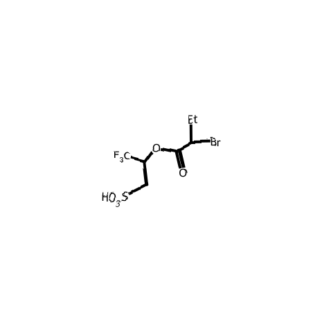 CCC(Br)C(=O)OC(CS(=O)(=O)O)C(F)(F)F